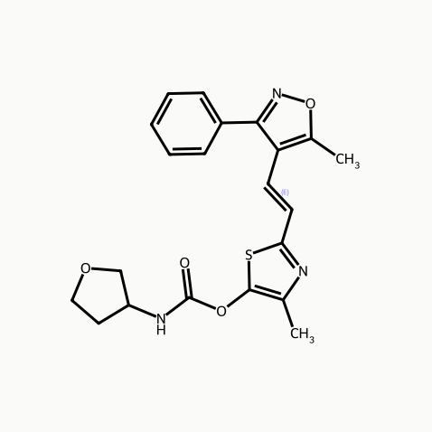 Cc1nc(/C=C/c2c(-c3ccccc3)noc2C)sc1OC(=O)NC1CCOC1